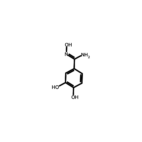 NC(=NO)c1ccc(O)c(O)c1